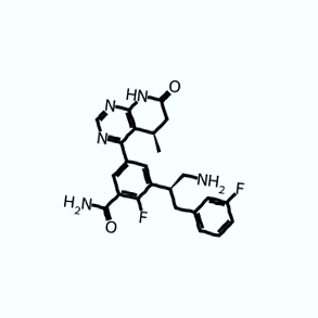 C[C@@H]1CC(=O)Nc2ncnc(-c3cc(C(N)=O)c(F)c([C@@H](CN)Cc4cccc(F)c4)c3)c21